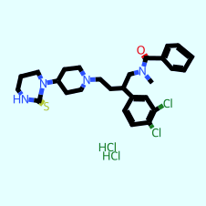 CN(CC(CCN1CCC(N2CCCNC2=S)CC1)c1ccc(Cl)c(Cl)c1)C(=O)c1ccccc1.Cl.Cl